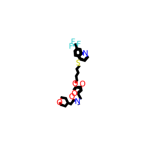 CN(Cc1cc(=O)c(OCCCCCSc2ccnc3cc(C(F)(F)F)ccc23)co1)C(=O)CC1CCOCC1